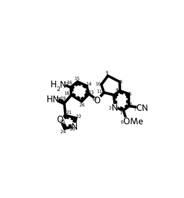 COc1nc2c(cc1C#N)CCCC2Oc1ccc(N)c(C(=N)c2cnco2)c1